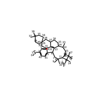 CSc1ccc(C2CC(C)(C)[C@](C)(C(C)(F)C(C)(F)F)CCC(C)C3CCC4CC5(CCC4=C23)CCC(C)(C)CC5)cc1